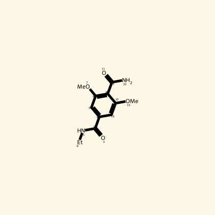 CCNC(=O)c1cc(OC)c(C(N)=O)c(OC)c1